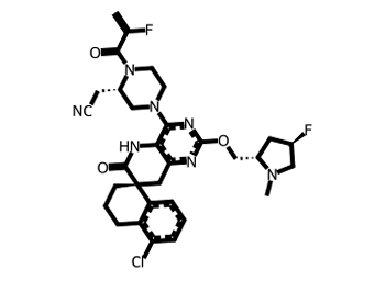 C=C(F)C(=O)N1CCN(c2nc(OC[C@@H]3C[C@@H](F)CN3C)nc3c2NC(=O)[C@]2(CCCc4c(Cl)cccc42)C3)C[C@@H]1CC#N